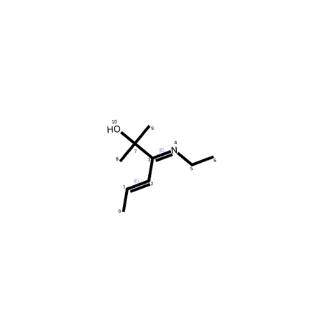 C/C=C/C(=N\CC)C(C)(C)O